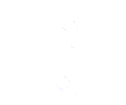 Cc1cc(OCC2=CCCN(C(C)c3nc4c(cc3F)OCCO4)C2)cc(C)n1